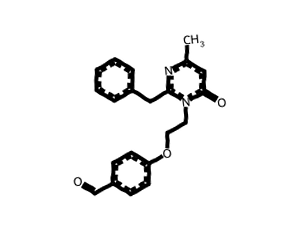 Cc1cc(=O)n(CCOc2ccc(C=O)cc2)c(Cc2ccccc2)n1